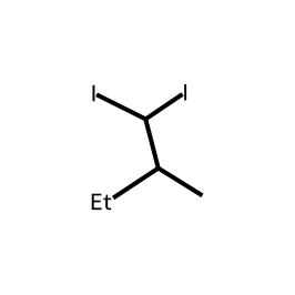 CCC(C)C(I)I